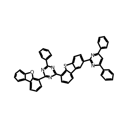 c1ccc(-c2cc(-c3ccccc3)nc(-c3ccc4sc5c(-c6nc(-c7ccccc7)nc(-c7cccc8c7oc7ccccc78)n6)cccc5c4c3)n2)cc1